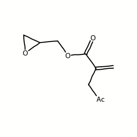 C=C(CC(C)=O)C(=O)OCC1CO1